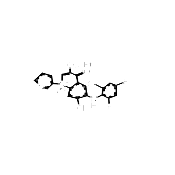 CCOC(=O)C1=C[N+]([O-])(c2cccnc2)c2cc(Cl)c(Nc3c(F)cc(F)cc3Cl)cc2C1=O